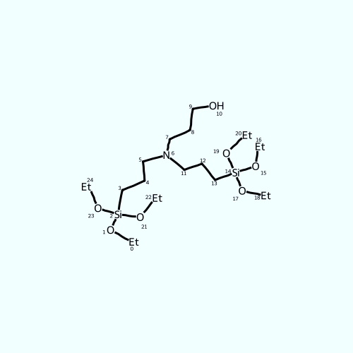 CCO[Si](CCCN(CCCO)CCC[Si](OCC)(OCC)OCC)(OCC)OCC